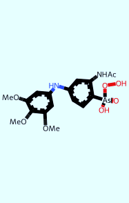 COc1cc(Nc2ccc([As](=O)(O)OO)c(NC(C)=O)c2)cc(OC)c1OC